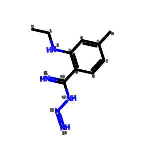 CCNc1cc(C)ccc1C(=N)NN=N